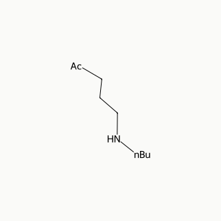 CCCCNCCCC(C)=O